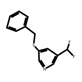 FC(F)c1cncc(SCc2ccccc2)c1